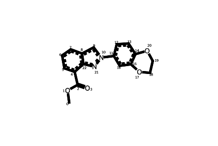 COC(=O)c1cccc2cn(-c3ccc4c(c3)OCCO4)nc12